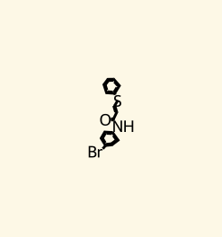 O=C(C=CSc1ccccc1)Nc1ccc(Br)cc1